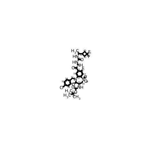 CC(NC(=O)NNC(=O)c1cc2c(cc1F)S(=O)(=O)C[C@H](NC(=O)OC(C)(C)C)C(=O)N2Cc1ccc(Cl)cc1)C1CC(F)(F)C1